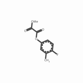 COC(=O)C(=O)Oc1ccc(F)c(C)c1